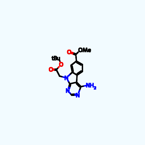 COC(=O)c1ccc2c3c(N)ncnc3n(CC(=O)OC(C)(C)C)c2c1